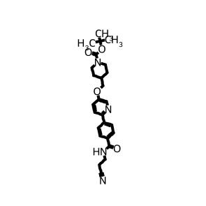 CC(C)(C)OC(=O)N1CCC(COc2ccc(-c3ccc(C(=O)NCCC#N)cc3)nc2)CC1